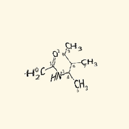 [CH2]C(=O)NC(C)C(C)CC